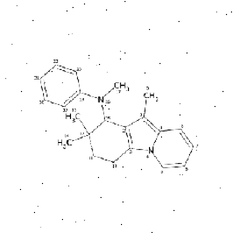 Cc1c2c(n3ccccc13)CCC(C)(C)C2N(C)c1ccccc1